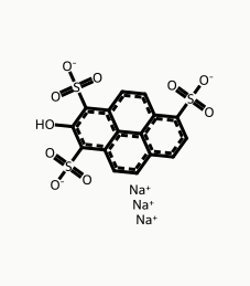 O=S(=O)([O-])c1ccc2ccc3c(S(=O)(=O)[O-])c(O)c(S(=O)(=O)[O-])c4ccc1c2c34.[Na+].[Na+].[Na+]